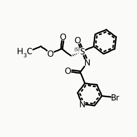 CCOC(=O)C[S@@](=O)(=NC(=O)c1cncc(Br)c1)c1ccccc1